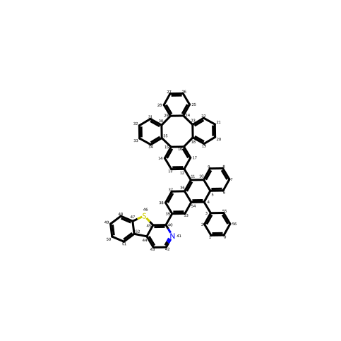 c1ccc(-c2c3ccccc3c(-c3ccc4c(c3)-c3ccccc3-c3ccccc3-c3ccccc3-4)c3ccc(-c4nccc5c4sc4ccccc45)cc23)cc1